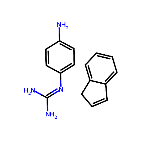 C1=Cc2ccccc2C1.NC(N)=Nc1ccc(N)cc1